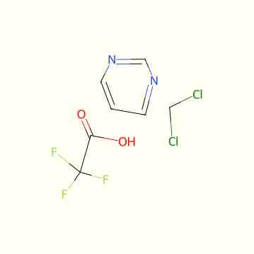 ClCCl.O=C(O)C(F)(F)F.c1cncnc1